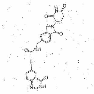 O=C(C#Cc1ccc2nc[nH]c(=O)c2c1)NCc1ccc2c(c1)CN(C1CCC(=O)NC1=O)C2=O